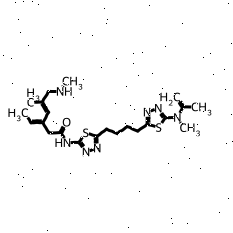 C=C(C)N(C)c1nnc(CCCCc2nnc(NC(=O)CC(=C/C)/C=C(\C)CNC)s2)s1